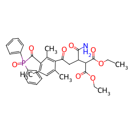 CCOC(=O)C(C(=O)OCC)C(CC(=O)c1c(C)cc(C)c(C(=O)P(=O)(c2ccccc2)c2ccccc2)c1C)C(N)=O